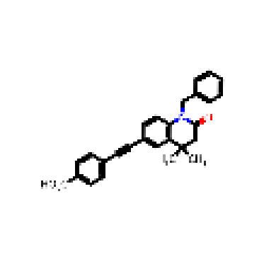 CC1(C)CC(=O)N(Cc2ccccc2)c2ccc(C#Cc3ccc(C(=O)O)cc3)cc21